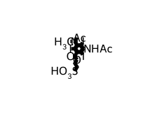 CC(=O)Nc1c(I)c(C(=O)OCCS(=O)(=O)O)c(I)c(N(C)C(C)=O)c1I